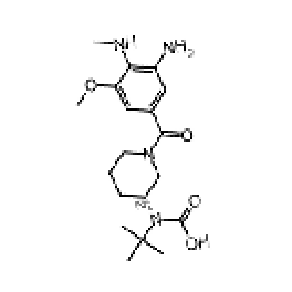 CNc1c(N)cc(C(=O)N2CCC[C@@H](N(C(=O)O)C(C)(C)C)C2)cc1OC